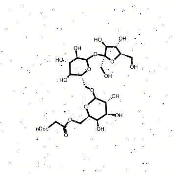 CCCCCCCCCCCC(=O)OC[C@H]1OC(OC[C@H]2OC(O[C@]3(CO)O[C@H](CO)[C@@H](O)[C@@H]3O)[C@H](O)[C@@H](O)[C@@H]2O)[C@H](O)[C@@H](O)[C@H]1O